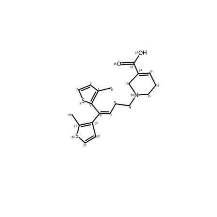 Cc1ccsc1C(=CCCN1CCC=C(C(=O)O)C1)c1ccsc1C